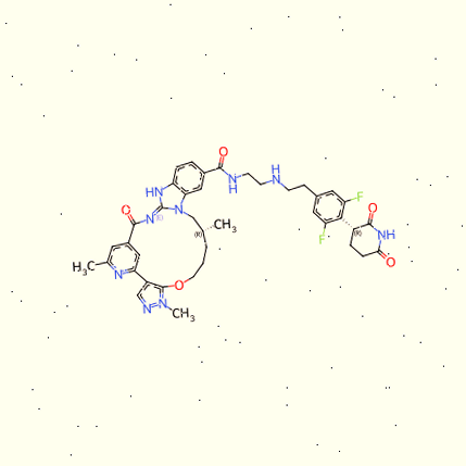 Cc1cc2cc(n1)-c1cnn(C)c1OCCC[C@@H](C)CN1/C(=N/C2=O)Nc2ccc(C(=O)NCCNCCc3cc(F)c([C@H]4CCC(=O)NC4=O)c(F)c3)cc21